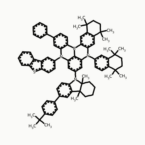 CC(C)(C)c1ccc(-c2ccc3c(c2)C2(C)CCCCC2(C)N3c2cc3c4c(c2)N(c2ccc5c(c2)C(C)(C)CCC5(C)C)c2cc5c(cc2B4c2ccc(-c4ccccc4)cc2N3c2ccc3sc4ccccc4c3c2)C(C)(C)CCC5(C)C)cc1